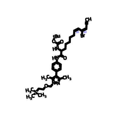 C#C/C=C(Br)\C=C/CCCCCC(NC(=O)OC(C)(C)C)C(=O)Nc1ccc(-c2c(C)nn(COCCS(C)(C)C)c2C)cc1